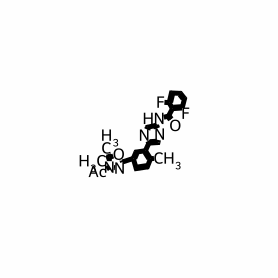 CC(=O)N1N=C(c2ccc(C)c(-c3cnc(NC(=O)c4c(F)cccc4F)cn3)c2)OC1(C)C